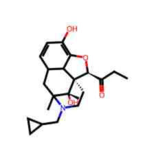 CCC(=O)[C@@H]1OC2=C(O)C=CC3CC4(C)N(CC5CC5)CC[C@@]1(C23)[C@]4(C)O